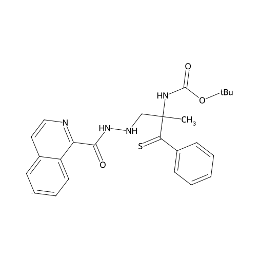 CC(C)(C)OC(=O)NC(C)(CNNC(=O)c1nccc2c[c]ccc12)C(=S)c1ccccc1